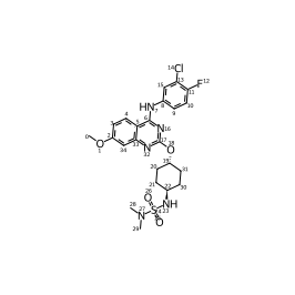 COc1ccc2c(Nc3ccc(F)c(Cl)c3)nc(O[C@H]3CC[C@H](NS(=O)(=O)N(C)C)CC3)nc2c1